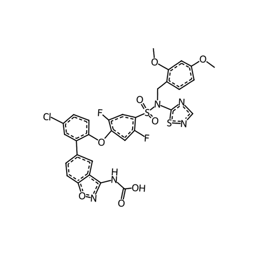 COc1ccc(CN(c2ncns2)S(=O)(=O)c2cc(F)c(Oc3ccc(Cl)cc3-c3ccc4onc(NC(=O)O)c4c3)cc2F)c(OC)c1